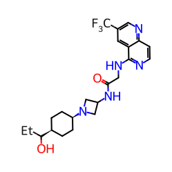 CCC(O)[C@H]1CC[C@@H](N2CC(NC(=O)CNc3nccc4ncc(C(F)(F)F)cc34)C2)CC1